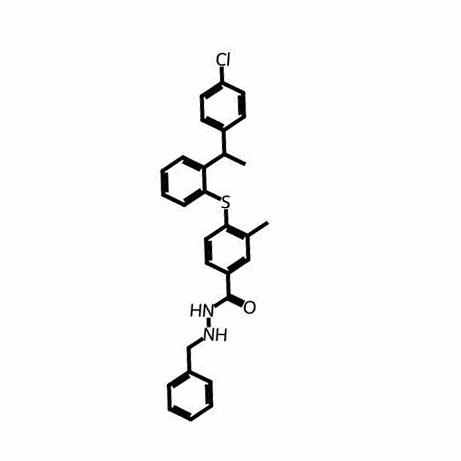 Cc1cc(C(=O)NNCc2ccccc2)ccc1Sc1ccccc1C(C)c1ccc(Cl)cc1